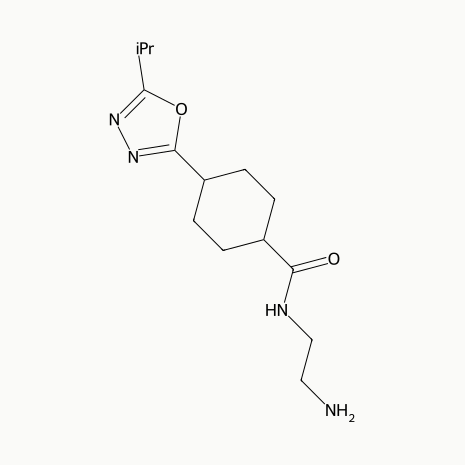 CC(C)c1nnc(C2CCC(C(=O)NCCN)CC2)o1